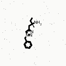 CC[C@](C)(N)Cc1cn(Cc2ccccc2)nn1